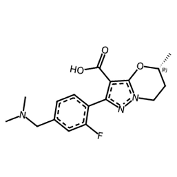 C[C@@H]1CCn2nc(-c3ccc(CN(C)C)cc3F)c(C(=O)O)c2O1